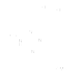 COc1ccc(/N=C2\N=C(c3ccc(C)c(C)c3)N=C2NC(C)(C)C)cc1